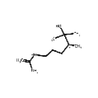 C=C(N)NCCC[C@H](C)C(C)(C)O